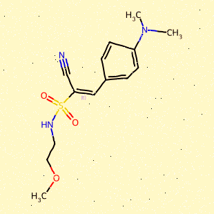 COCCNS(=O)(=O)/C(C#N)=C/c1ccc(N(C)C)cc1